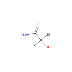 CCC(C)(O)C(N)=S